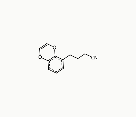 N#CCCCc1cccc2c1OC=CO2